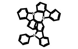 c1ccc(-n2c3ccccc3c3cc(-n4c5ccccc5c5cccc(-n6c7ccccc7c7ccccc76)c54)ccc32)cc1